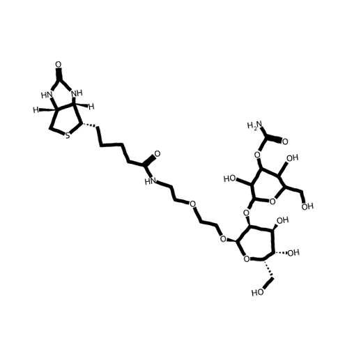 NC(=O)OC1C(O)C(CO)OC(O[C@@H]2[C@H](OCCOCCNC(=O)CCCC[C@@H]3SC[C@@H]4NC(=O)N[C@@H]43)O[C@@H](CO)[C@@H](O)[C@@H]2O)C1O